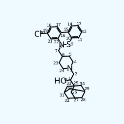 O[C@@H](CN1CCC(CN2Sc3ccccc3-c3ccc(Cl)cc32)CC1)C12CC3CC(CC(C3)C1)C2